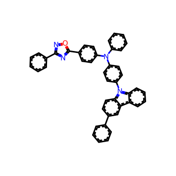 c1ccc(-c2ccc3c(c2)c2ccccc2n3-c2ccc(N(c3ccccc3)c3ccc(-c4nc(-c5ccccc5)no4)cc3)cc2)cc1